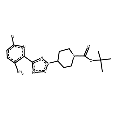 CC(C)(C)OC(=O)N1CCC(n2nnc(-c3nc(Cl)ccc3N)n2)CC1